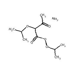 CC(=O)C(OC(C)C)C(=O)OOC(C)C.[AlH3]